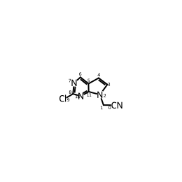 N#CCn1ccc2cnc(Cl)nc21